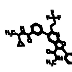 CNC(=O)c1c(-c2ccc(F)cc2)oc2nc(CCC(F)(F)F)c(-c3cccc(C(=O)N[C@H](C)C4CC4)c3)cc12